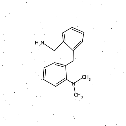 CN(C)c1c[c]ccc1Cc1ccccc1CN